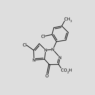 Cc1ccc(-n2nc(C(=O)O)c(=O)c3nc(Cl)cn32)c(Cl)c1